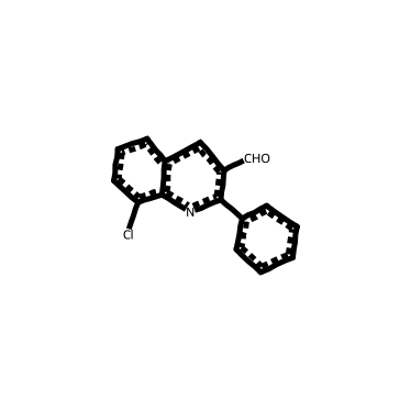 O=Cc1cc2cccc(Cl)c2nc1-c1ccccc1